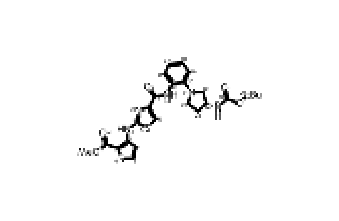 COC(=O)c1sccc1Nc1nc(C(=O)Nc2ccccc2N2CC[C@@H](NC(=O)OC(C)(C)C)C2)cs1